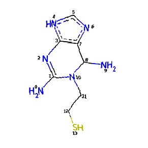 NC1=Nc2[nH]cnc2C(N)N1CCS